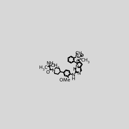 COc1cc(C2CCN(C(=O)C(C)(C)N)CC2)ccc1Nc1ncc2ccc(-c3ccccc3N(C)S(C)(=O)=O)n2n1